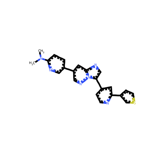 CN(C)c1ccc(-c2cnn3c(-c4ccnc(-c5ccsc5)c4)cnc3c2)cn1